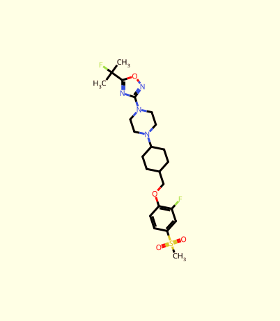 CC(C)(F)c1nc(N2CCN(C3CCC(COc4ccc(S(C)(=O)=O)cc4F)CC3)CC2)no1